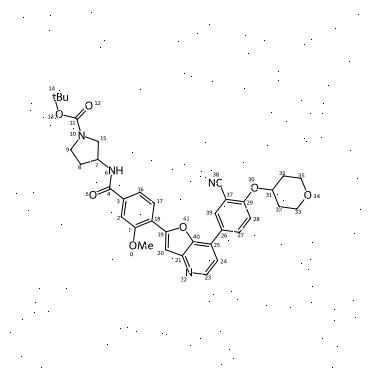 COc1cc(C(=O)NC2CCN(C(=O)OC(C)(C)C)C2)ccc1-c1cc2nccc(-c3ccc(OC4CCOCC4)c(C#N)c3)c2o1